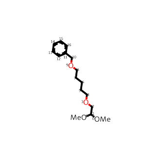 COC(COCCCCCOCc1ccccc1)OC